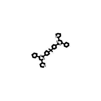 CC(C)(c1ccc(-c2nc(-c3ccccc3)cc(-c3cccnc3)n2)cc1)c1ccc(-c2nc(-c3ccccc3)cc(-c3ccccn3)n2)cc1